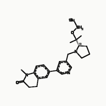 CN1C(=O)CCc2cc(-c3cncc(CN4CCC[C@H]4C(C)(C)O[SiH2]C(C)(C)C)c3)ccc21